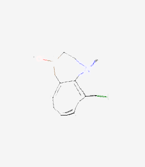 CN1C[S+]([O-])c2cccc(F)c21